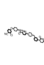 N#Cc1ccc(OC2CCC(NC(=O)c3ccc(N4CCN(Cc5cccc(C6CCC(=O)NC6=O)c5)CC4)nn3)CC2)cc1Cl